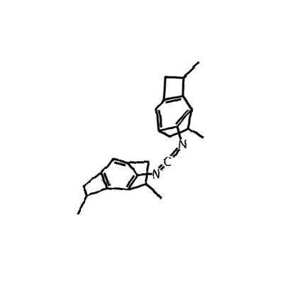 CC1Cc2cc3c(N=C=Nc4c5cc6c(c4C(C)C5)C(C)C6)c(c21)C(C)C3